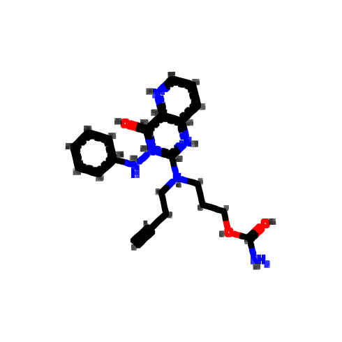 C#CCCN(CCCOC(N)=O)c1nc2cccnc2c(=O)n1Nc1ccccc1